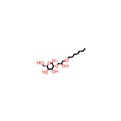 CCCCCCCOCC(O)CO[C@@H]1[C@@H](O)[C@@H](O)[C@@H](CO)O[C@H]1O